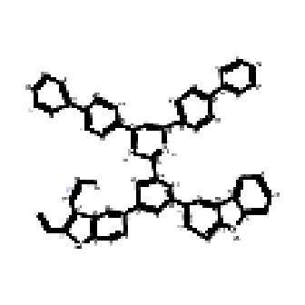 C=Cc1sc2ccc(-c3cc(-c4ccc5sc6ccccc6c5c4)cc(-c4nc(-c5ccc(-c6ccccc6)cc5)cc(-c5ccc(-c6ccccc6)cc5)n4)c3)cc2c1/C=C\C